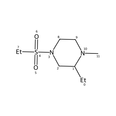 CCC1CN(S(=O)(=O)CC)CCN1C